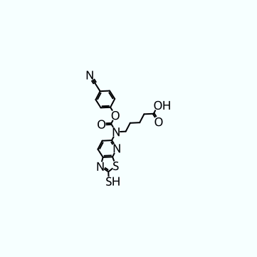 N#Cc1ccc(OC(=O)N(CCCCC(=O)O)c2ccc3nc(S)sc3n2)cc1